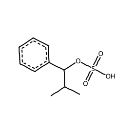 CC(C)C(OS(=O)(=O)O)c1ccccc1